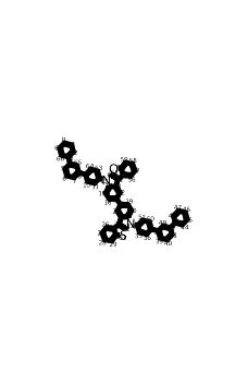 c1ccc(-c2cccc(-c3ccc(-n4c5ccc(-c6ccc7c(c6)c6c8ccccc8sc6n7-c6ccc(-c7cccc(-c8ccccc8)c7)cc6)cc5c5c6ccccc6oc54)cc3)c2)cc1